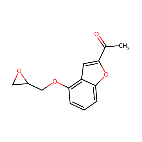 CC(=O)c1cc2c(OCC3CO3)cccc2o1